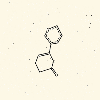 O=C1CCC=C(c2cccnc2)S1